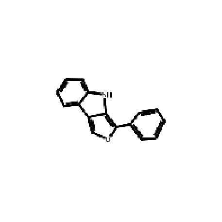 c1ccc(-c2occ3c2[nH]c2ccccc23)cc1